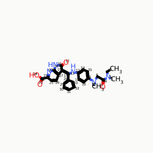 CCN(C)C(=O)CN(C)c1ccc(N/C(=C2\C(=O)Nc3nc(C(=O)O)ccc32)c2ccccc2)cc1